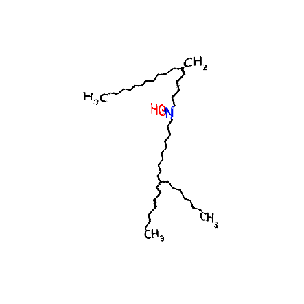 C=C(CCCCCCCCCCCC)CCCCCN(O)CCCCCCCCCCC(CCCCCCCC)CCCCCCCC